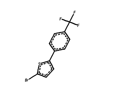 FC(F)(F)c1ccc(-c2ccc(Br)s2)cc1